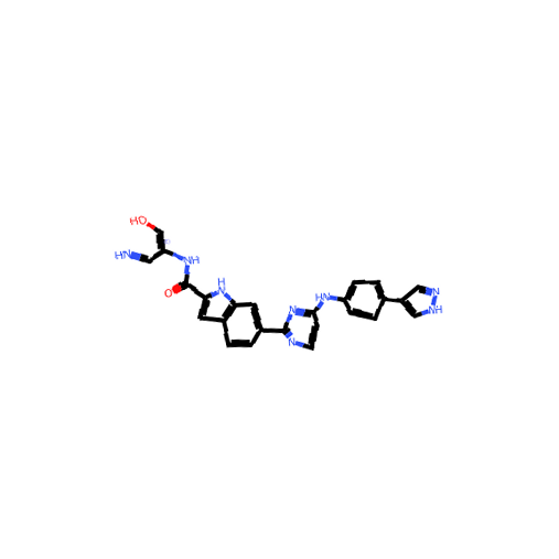 N=C/C(=C\O)NC(=O)c1cc2ccc(-c3nccc(Nc4ccc(-c5cn[nH]c5)cc4)n3)cc2[nH]1